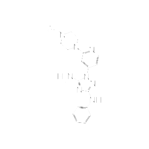 CC(=O)N1CCN(c2cc(-n3nc(Nc4ccccc4)nc3N)ccn2)CC1